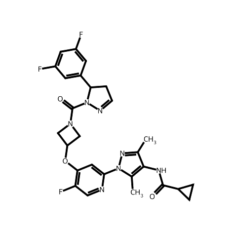 Cc1nn(-c2cc(OC3CN(C(=O)N4N=CCC4c4cc(F)cc(F)c4)C3)c(F)cn2)c(C)c1NC(=O)C1CC1